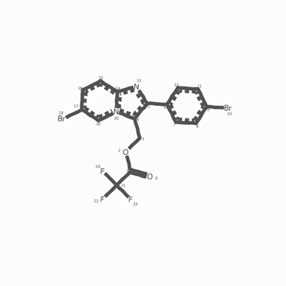 O=C(OCc1c(-c2ccc(Br)cc2)nc2ccc(Br)cn12)C(F)(F)F